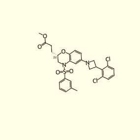 COC(=O)CC[C@H]1CN(S(=O)(=O)c2cccc(C)c2)c2cc(N3CC(c4c(Cl)cccc4Cl)C3)ccc2O1